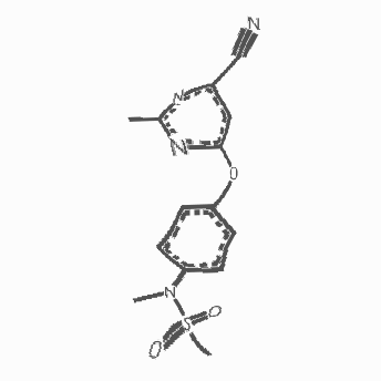 Cc1nc(C#N)cc(Oc2ccc(N(C)S(C)(=O)=O)cc2)n1